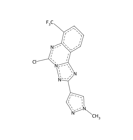 Cn1cc(-c2nc3c4cccc(C(F)(F)F)c4nc(Cl)n3n2)cn1